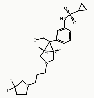 CCC1(c2cccc(NS(=O)(=O)C3CC3)c2)[C@@H]2CN(CCCN3CCC(F)(F)C3)C[C@@H]21